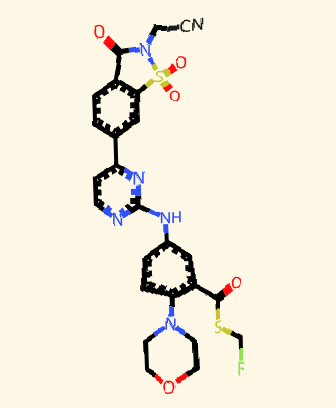 N#CCN1C(=O)c2ccc(-c3ccnc(Nc4ccc(N5CCOCC5)c(C(=O)SCF)c4)n3)cc2S1(=O)=O